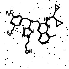 Cc1cccc2cc(CN(Cc3cc(C(F)(F)F)cc(C(F)(F)F)c3)c3nnn(CCO)n3)c(NC(C3CC3)C3CC3)nc12